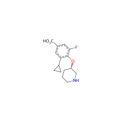 O=C(O)c1cc(F)c(O[C@@H]2CCCNC2)c(C2CC2)c1